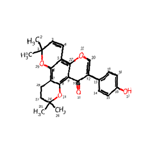 CC1(C)C=Cc2c(c3c(c4c(=O)c(-c5ccc(O)cc5)coc24)OC(C)(C)CC3)O1